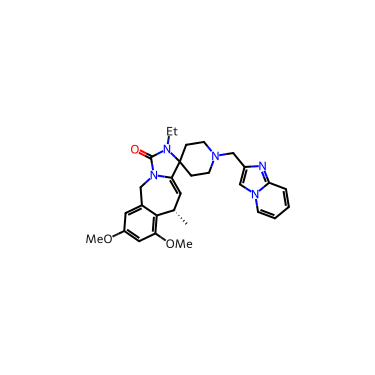 CCN1C(=O)N2Cc3cc(OC)cc(OC)c3[C@@H](C)C=C2C12CCN(Cc1cn3ccccc3n1)CC2